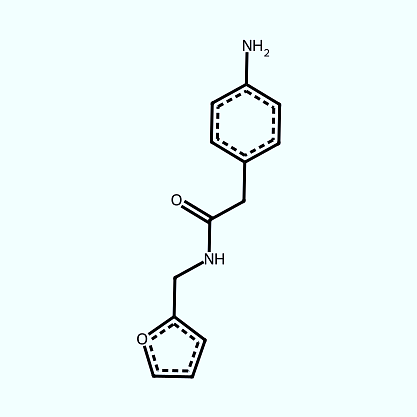 Nc1ccc(CC(=O)NCc2ccco2)cc1